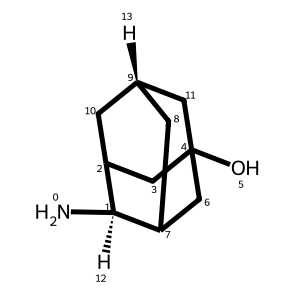 N[C@H]1C2CC3(O)CC1C[C@H](C2)C3